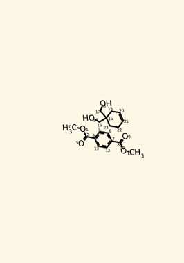 COC(=O)c1ccc(C(=O)OC)cc1.OCC1(CO)CC=CCC1